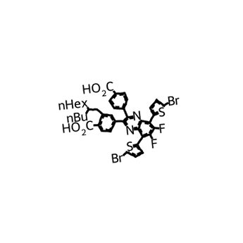 CCCCCCC(CCCC)Cc1cc(-c2nc3c(-c4ccc(Br)s4)c(F)c(F)c(-c4ccc(Br)s4)c3nc2-c2ccc(C(=O)O)cc2)ccc1C(=O)O